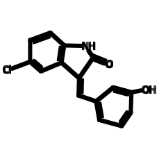 O=C1Nc2ccc(Cl)cc2C1=Cc1cccc(O)c1